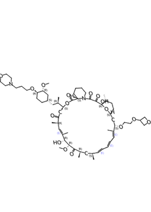 CO[C@@H]1C[C@H](C[C@@H](C)[C@@H]2CC(=O)[C@H](C)/C=C(\C)[C@@H](O)[C@@H](OC)C(=O)[C@H](C)C[C@H](C)/C=C/C=C/C=C(\C)[C@@H](OCCOC3COC3)C[C@@H]3CC[C@@H](C)[C@@](O)(O3)C(=O)C(=O)N3CCCC[C@H]3C(=O)O2)CC[C@H]1OCCCN1CCOCC1